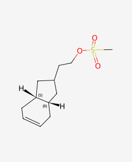 CS(=O)(=O)OCCC1C[C@H]2CC=CC[C@H]2C1